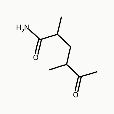 CC(=O)C(C)CC(C)C(N)=O